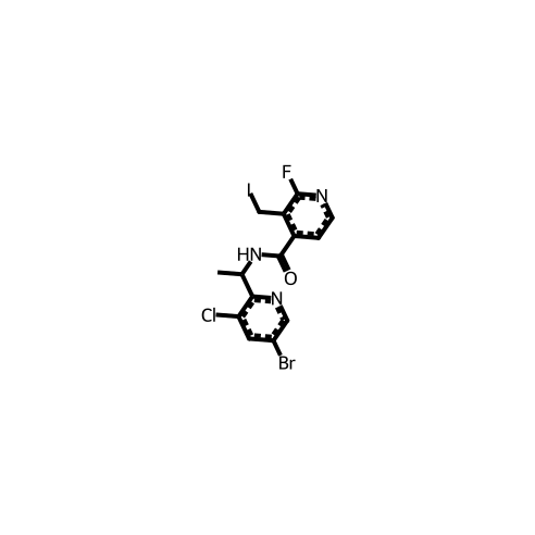 CC(NC(=O)c1ccnc(F)c1CI)c1ncc(Br)cc1Cl